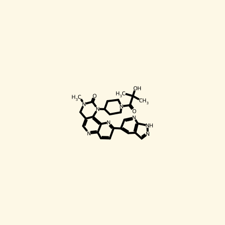 CN1Cc2cnc3ccc(-c4cnc5[nH]ncc5c4)nc3c2N(C2CCN(C(=O)C(C)(C)O)CC2)C1=O